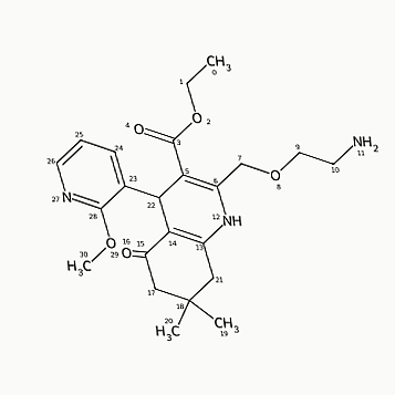 CCOC(=O)C1=C(COCCN)NC2=C(C(=O)CC(C)(C)C2)C1c1cccnc1OC